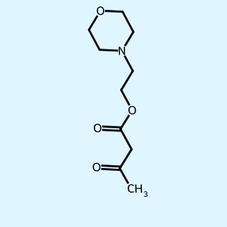 CC(=O)CC(=O)OCCN1CCOCC1